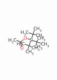 [CH2]C(=O)O[Si](C(C)(C)C)(C(C)(C)C)C(C)(C)C